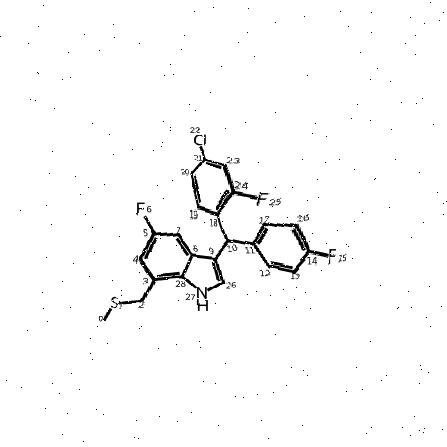 CSCc1cc(F)cc2c(C(c3ccc(F)cc3)c3ccc(Cl)cc3F)c[nH]c12